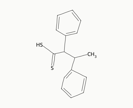 CC(c1ccccc1)C(C(=S)S)c1ccccc1